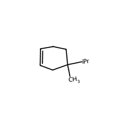 CC(C)C1(C)CC=CCC1